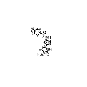 O=C(CNc1nnc(-c2ccc(C(F)(F)F)c(=O)[nH]2)o1)N1CCC2(CC1)CC2